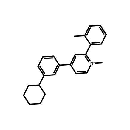 Cc1ccccc1-c1cc(-c2cccc(C3CCCCC3)c2)cc[n+]1C